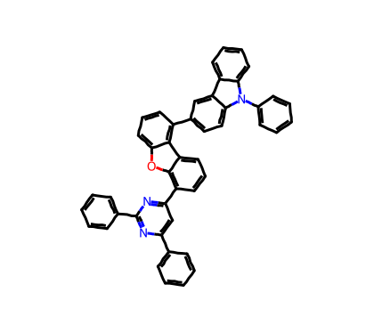 c1ccc(-c2cc(-c3cccc4c3oc3cccc(-c5ccc6c(c5)c5ccccc5n6-c5ccccc5)c34)nc(-c3ccccc3)n2)cc1